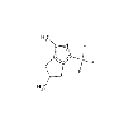 CC1Cc2c(C(F)(F)F)nn(C)c2C1